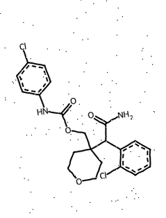 NC(=O)C(c1ccccc1Cl)C1(COC(=O)Nc2ccc(Cl)cc2)CCOCC1